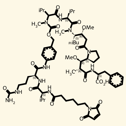 CC[C@@H](C)[C@@H]([C@@H](CC(=O)N1CCC[C@H]1[C@H](OC)[C@@H](C)C(=O)N[C@@H](Cc1ccccc1)C(=O)O)OC)N(C)C(=O)[C@@H](NC(=O)C(C(C)C)N(C)C(=O)OCc1ccc(NC(=O)[C@H](CCCNC(N)=O)NC(=O)[C@@H](NC(=O)CCCCCN2C(=O)C=CC2=O)C(C)C)cc1)C(C)C